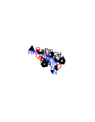 C=C(C)[C@H](N[C@@H]([C@H](NC(=O)c1cnccn1)C1CCCCC1)C(F)(F)F)C(=O)N1C[C@@H]2CCC[C@@H]2[C@H]1C(=O)N[C@@H](CCC)C(=O)C(=O)NC1CC1